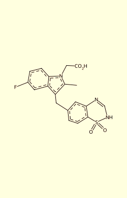 Cc1c(Cc2ccc3c(c2)N=CNS3(=O)=O)c2cc(F)ccc2n1CC(=O)O